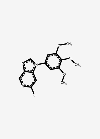 COc1cc(-n2cnc3cnc(Cl)cc32)cc(OC)c1OC